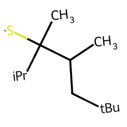 CC(C)C(C)([S])C(C)CC(C)(C)C